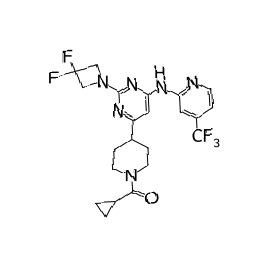 O=C(C1CC1)N1CCC(c2cc(Nc3cc(C(F)(F)F)ccn3)nc(N3CC(F)(F)C3)n2)CC1